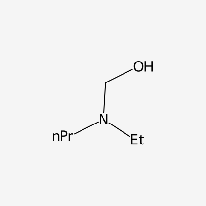 CCCN(CC)CO